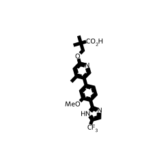 COc1cc(-c2cnc(OCC(C)(C)C(=O)O)cc2C)ccc1-c1ncc(C(F)(F)F)[nH]1